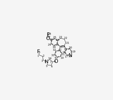 FCCCN1CCC(Oc2ccc(C3=C(c4ccncc4)CCCc4cc(OF)ccc43)cc2)C1